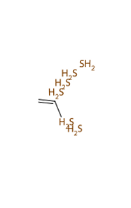 C=CC.S.S.S.S.S.S